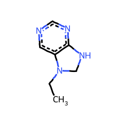 CCN1CNc2ncncc21